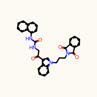 O=C(NCC(=O)c1cn(CCCN2C(=O)c3ccccc3C2=O)c2ccccc12)Nc1cccc2ccccc12